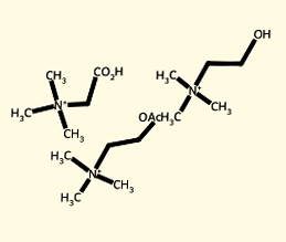 CC(=O)OCC[N+](C)(C)C.C[N+](C)(C)CC(=O)O.C[N+](C)(C)CCO